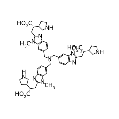 Cn1c(C[C@H](C(=O)O)[C@H]2CCNC2)nc2ccc(CN(Cc3ccc4nc(C[C@H](C(=O)O)[C@H]5CCNC5)n(C)c4c3)Cc3ccc4nc(C[C@H](C(=O)O)[C@H]5CCNC5)n(C)c4c3)cc21